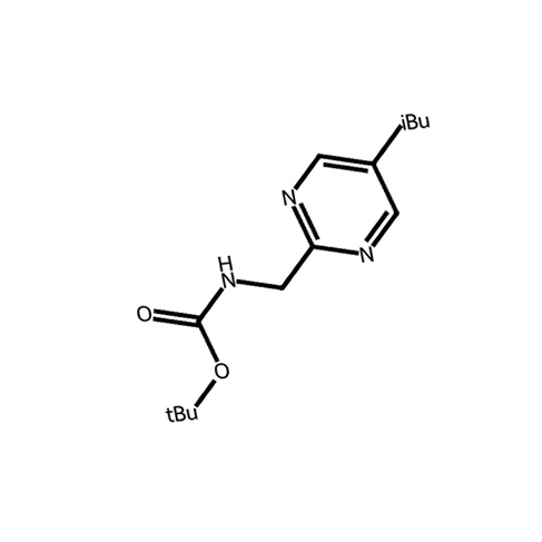 CCC(C)c1cnc(CNC(=O)OC(C)(C)C)nc1